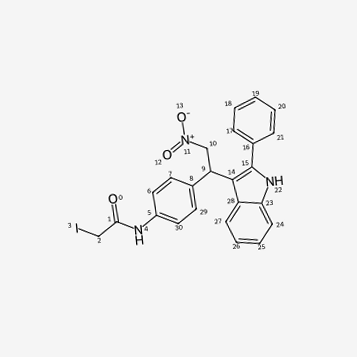 O=C(CI)Nc1ccc(C(C[N+](=O)[O-])c2c(-c3ccccc3)[nH]c3ccccc23)cc1